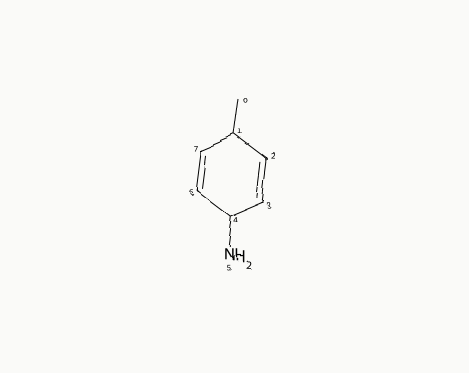 CC1C=CC(N)C=C1